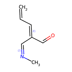 C=C/C=C(C=O)\C=N/C